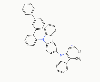 CC/C=C\c1c(C)c2ccccc2n1-c1ccc2c(c1)c1ccccc1n2-c1ccccc1-c1cccc(-c2ccccc2)c1